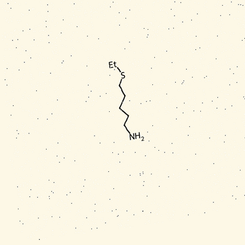 CCSCCCCCN